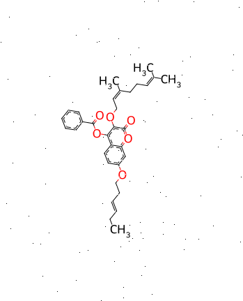 CCC=CCCOc1ccc2c(OC(=O)c3ccccc3)c(OCC=C(C)CCC=C(C)C)c(=O)oc2c1